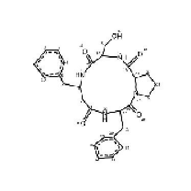 O=C1CC(Cc2ccccc2)NC(=O)C(CO)NC(=O)C2CCCN2C(=O)C(Cc2ccccc2)N1